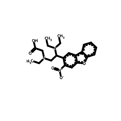 CCN(CC(=O)O)CC(c1cc2c(cc1[N+](=O)[O-])oc1ccccc12)N(CC)CC